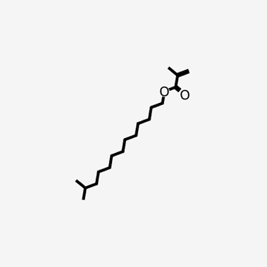 C=C(C)C(=O)OCCCCCCCCCCCC(C)C